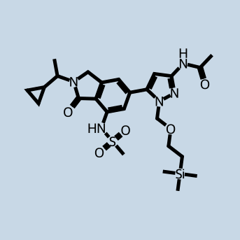 CC(=O)Nc1cc(-c2cc3c(c(NS(C)(=O)=O)c2)C(=O)N(C(C)C2CC2)C3)n(COCC[Si](C)(C)C)n1